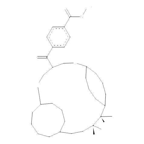 C[C@@H]1CCC2CCCCC(CCC2)SCC(C(=O)c2ccc(C(=O)NC(C)(C)C)cc2)CSC2CCCC(CCC2)[C@@H]1C